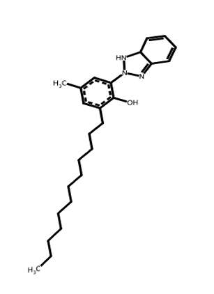 CCCCCCCCCCCCc1cc(C)cc(N2N=C3C=CC=CC3N2)c1O